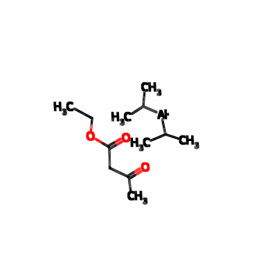 CCOC(=O)CC(C)=O.C[CH](C)[Al][CH](C)C